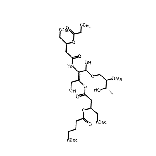 CCCCCCCCCCCCCC(=O)O[C@H](CCCCCCCCCCC)CC(=O)O/C(CO)=C(/NC(=O)C[C@@H](CCCCCCCCCCC)OC(=O)CCCCCCCCCCC)C(O)OCC(OC)[C@H](C)O